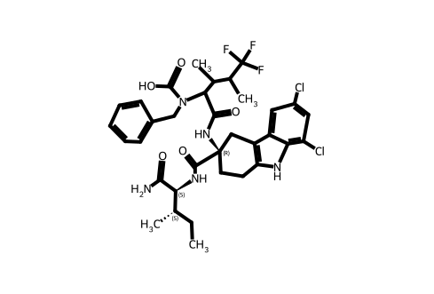 CC[C@H](C)[C@H](NC(=O)[C@@]1(NC(=O)C(C(C)C(C)C(F)(F)F)N(Cc2ccccc2)C(=O)O)CCc2[nH]c3c(Cl)cc(Cl)cc3c2C1)C(N)=O